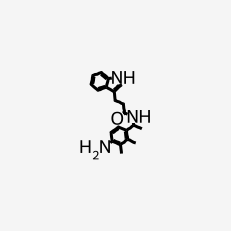 Cc1c(N)ccc(C(C)NC(=O)CCc2c[nH]c3ccccc23)c1C